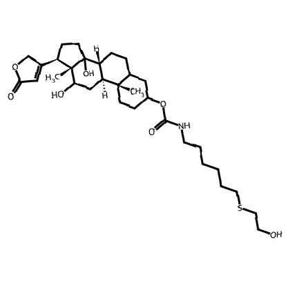 C[C@]12CCC(OC(=O)NCCCCCCSCCO)CC1CC[C@@H]1[C@@H]2CC(O)[C@]2(C)[C@@H](C3=CC(=O)OC3)CCC12O